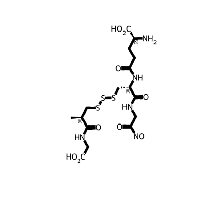 C[C@@H](CSSSC[C@H](NC(=O)CC[C@H](N)C(=O)O)C(=O)NCC(=O)N=O)C(=O)NCC(=O)O